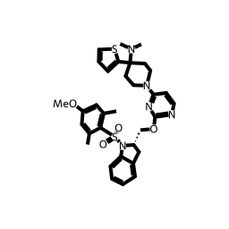 COc1cc(C)c(S(=O)(=O)N2c3ccccc3C[C@H]2COc2nccc(N3CCC(c4cccs4)(N(C)C)CC3)n2)c(C)c1